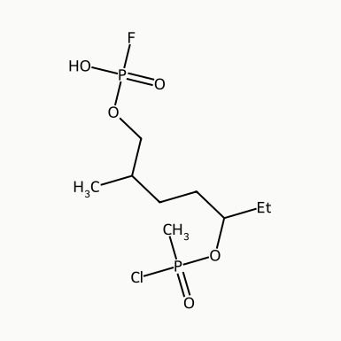 CCC(CCC(C)COP(=O)(O)F)OP(C)(=O)Cl